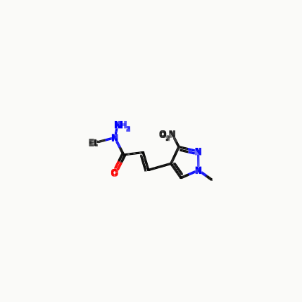 CCN(N)C(=O)C=Cc1cn(C)nc1[N+](=O)[O-]